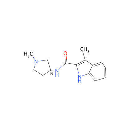 Cc1c(C(=O)N[C@@H]2CCN(C)C2)[nH]c2ccccc12